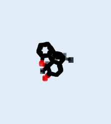 O=C1CC=C2[C@@H]3CCC[C@@]24c2c(cccc2O[C@@H]14)C3